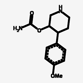 COc1ccc(C2CCNCC2OC(N)=O)cc1